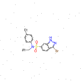 CCc1ccc(N(CC(C)C)S(=O)(=O)c2ccc3c(Br)n[nH]c3c2)cc1